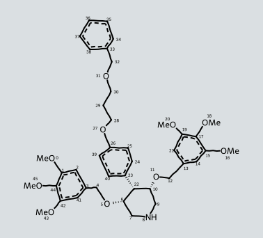 COc1cc(CO[C@H]2CNC[C@@H](OCc3cc(OC)c(OC)c(OC)c3)[C@H]2c2ccc(OCCCOCc3ccccc3)cc2)cc(OC)c1OC